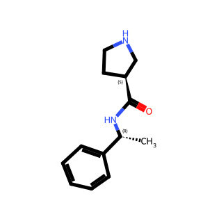 C[C@@H](NC(=O)[C@H]1CCNC1)c1ccccc1